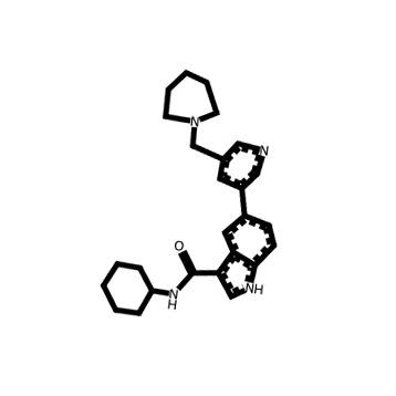 O=C(NC1CCCCC1)c1c[nH]c2ccc(-c3cncc(CN4CCCCC4)c3)cc12